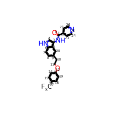 O=C(Nc1c[nH]c2ccc(CCOc3ccc(C(F)(F)F)cc3)cc12)c1ccncc1